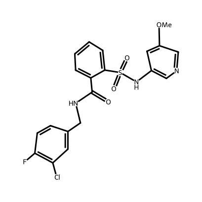 COc1cncc(NS(=O)(=O)c2ccccc2C(=O)NCc2ccc(F)c(Cl)c2)c1